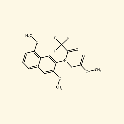 COC(=O)CN(C(=O)C(F)(F)F)c1cc2c(OC)cccc2cc1OC